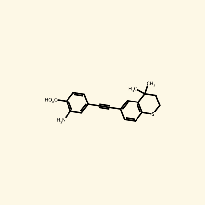 CC1(C)CCSc2ccc(C#Cc3ccc(C(=O)O)c(N)c3)cc21